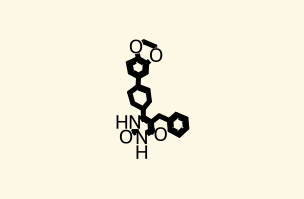 O=c1[nH]c(C2CC=C(c3ccc4c(c3)OCCO4)CC2)c(Cc2ccccc2)c(=O)[nH]1